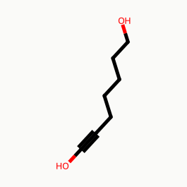 OC#CCCCCCO